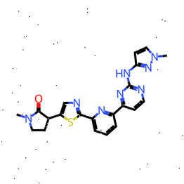 CN1CCC(c2cnc(-c3cccc(-c4ccnc(Nc5ccn(C)n5)n4)n3)s2)C1=O